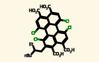 CCCCC(CC)Cc1c(C(=O)O)c2c(C(=O)O)cc(Cl)c3c4c(Cl)cc(C(=O)O)c5c(C(=O)O)cc(Cl)c(c(c1Cl)c23)c54